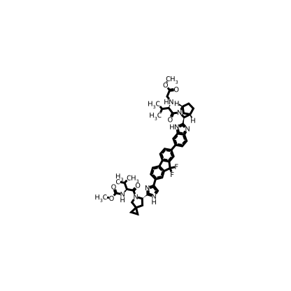 COC(=O)CN[C@H](C(=O)N1[C@@H]2CC[C@@H](C2)[C@H]1c1nc2ccc(-c3ccc4c(c3)C(F)(F)c3cc(-c5c[nH]c([C@@H]6CC7(CC7)CN6C(=O)[C@@H](NC(=O)OC)C(C)C)n5)ccc3-4)cc2[nH]1)C(C)C